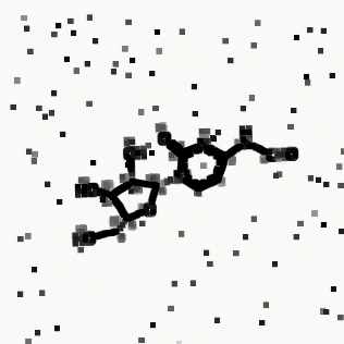 O=CNc1ccn([C@@H]2O[C@H](CO)[C@@H](O)[C@H]2O)c(=O)n1